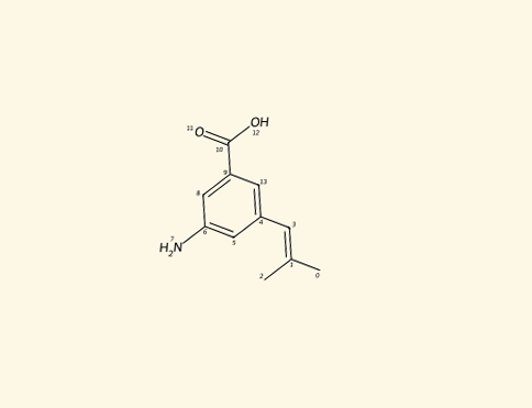 CC(C)=Cc1cc(N)cc(C(=O)O)c1